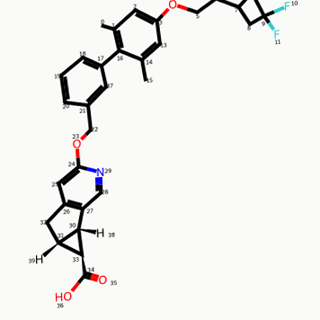 Cc1cc(OCCC2CC(F)(F)C2)cc(C)c1-c1cccc(COc2cc3c(cn2)[C@H]2[C@@H](C3)[C@@H]2C(=O)O)c1